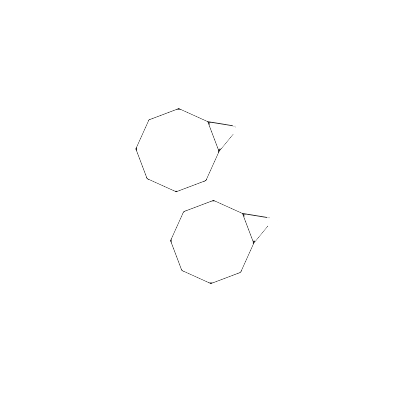 C1CCCC2OC2CC1.C1CCCC2OC2CC1